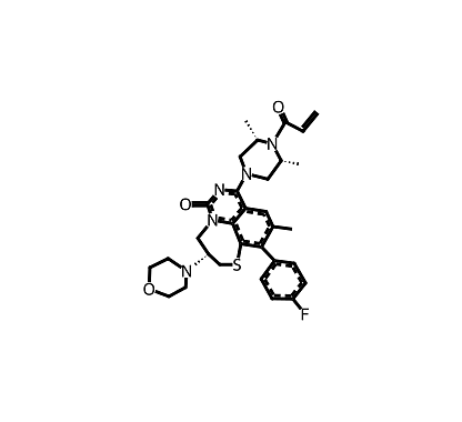 C=CC(=O)N1[C@H](C)CN(c2nc(=O)n3c4c(c(-c5ccc(F)cc5)c(C)cc24)SC[C@H](N2CCOCC2)C3)C[C@@H]1C